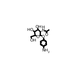 CC(=O)N[C@@H]1C(Oc2ccc(N)cc2)OC(CO)C(O)C1O